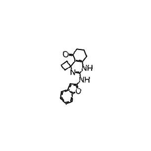 O=C1CCCC2=C1C1(CCC1)N=C(Nc1cc3ccccc3o1)N2